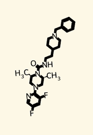 C[C@@H]1CN(c2ncc(F)cc2F)C[C@H](C)N1C(=O)NCCC1CCN(Cc2ccccc2)CC1